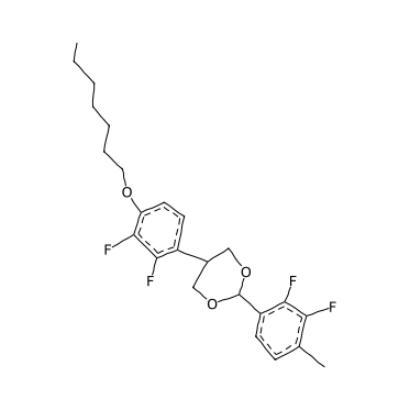 CCCCCCCOc1ccc(C2COC(c3ccc(C)c(F)c3F)OC2)c(F)c1F